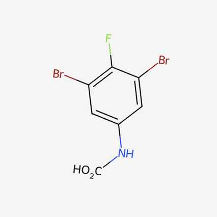 O=C(O)Nc1cc(Br)c(F)c(Br)c1